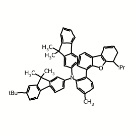 Cc1ccc(-c2cccc3c4c(oc23)C(C(C)C)CC=C4)c(N(c2ccc3c(c2)C(C)(C)c2ccccc2-3)c2ccc3c(c2)C(C)(C)c2cc(C(C)(C)C)ccc2-3)c1